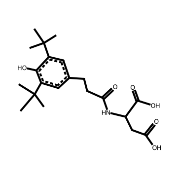 CC(C)(C)c1cc(CCC(=O)NC(CC(=O)O)C(=O)O)cc(C(C)(C)C)c1O